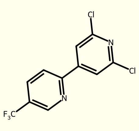 FC(F)(F)c1ccc(-c2cc(Cl)nc(Cl)c2)nc1